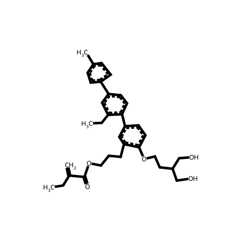 C=C(CC)C(=O)OCCCc1cc(-c2ccc(-c3ccc(C)cc3)cc2CC)ccc1OCCC(CO)CO